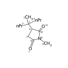 CCCC(C)(CCC)C1CC(=O)N(C)C1=O